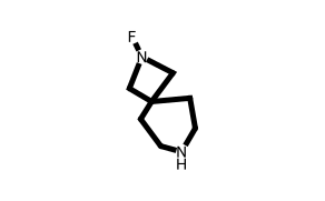 FN1CC2(CCNCC2)C1